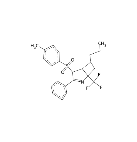 CCCC1CC2(C(F)(F)F)N=C(c3ccccc3)C(S(=O)(=O)c3ccc(C)cc3)C12